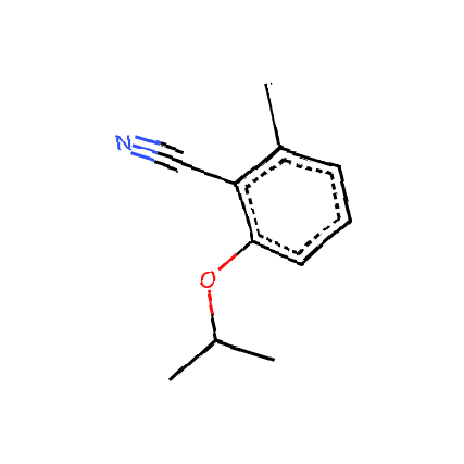 [CH2]c1cccc(OC(C)C)c1C#N